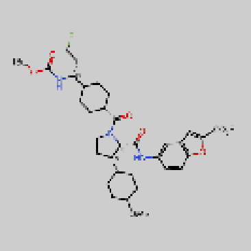 CCOC(=O)c1cc2cc(NC(=O)[C@@H]3[C@H](C4CCC(OC)CC4)CCN3C(=O)[C@H]3CC[C@H]([C@@H](CCF)NC(=O)OC(C)(C)C)CC3)ccc2o1